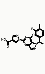 Cc1ccc(C(C)n2ncc3nc(-n4cc(C(=O)O)cn4)nc(O)c32)cc1F